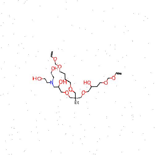 C=COCOCCCCOCC(CC)(COCC(O)CCOCOC=C)COCC(O)CN(CCO)CCO